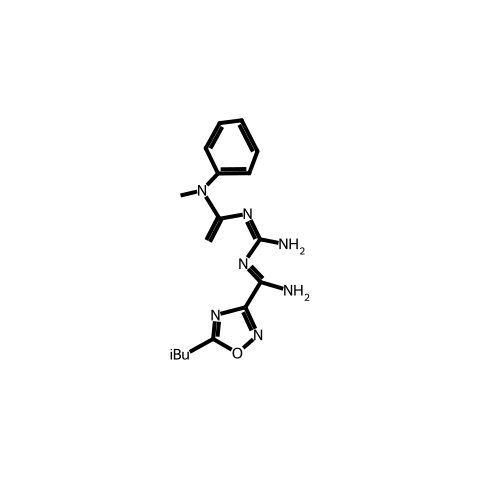 C=C(/N=C(N)\N=C(/N)c1noc(C(C)CC)n1)N(C)c1ccccc1